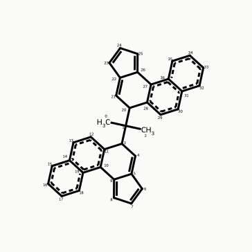 CC(C)(C1C=C2C=CC=C2c2c1ccc1ccccc21)C1C=C2C=CC=C2c2c1ccc1ccccc21